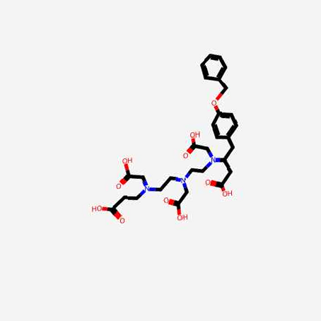 O=C(O)CCN(CCN(CCN(CC(=O)O)C(CC(=O)O)Cc1ccc(OCc2ccccc2)cc1)CC(=O)O)CC(=O)O